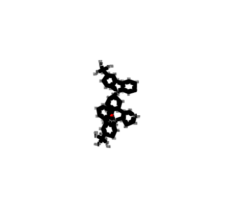 N#Cc1ccc(-n2c3ccccc3c3cc(C(F)(F)F)ccc32)cc1-c1cnccc1-n1c2ccccc2c2cc(C(F)(F)F)ccc21